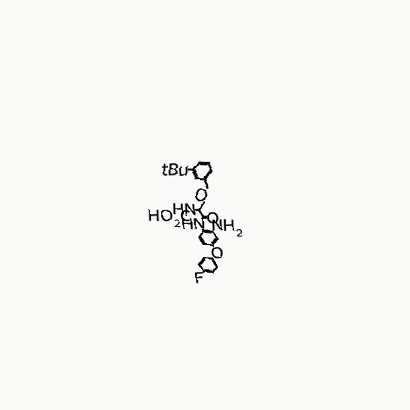 CC(C)(C)c1cccc(COCC(NC(=O)O)C(=O)Nc2ccc(Oc3ccc(F)cc3)cc2N)c1